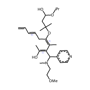 C=C/C=C/C/C(OC(C)(C)CC(O)OC(C)C)=C(C)\C(=C(/C)O)C(c1ccncc1)N(C)CCOC